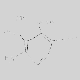 Br.CCCCCc1ccc(N)c(CCCCC)c1CCCCC